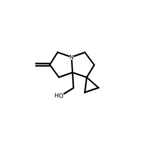 C=C1CN2CCC3(CC3)C2(CO)C1